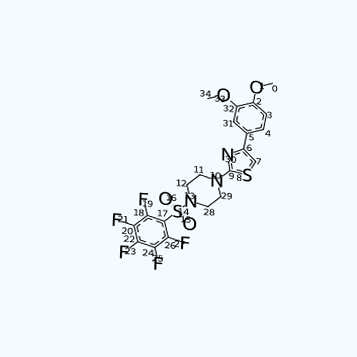 COc1ccc(-c2csc(N3CCN(S(=O)(=O)c4c(F)c(F)c(F)c(F)c4F)CC3)n2)cc1OC